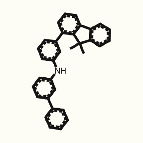 CC1(C)c2ccccc2-c2cccc(-c3cccc(Nc4cccc(-c5ccccc5)c4)c3)c21